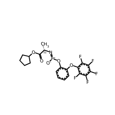 C[C@H](N=[P+]([O-])Oc1ccccc1Oc1c(F)c(F)c(F)c(F)c1F)C(=O)OC1CCCC1